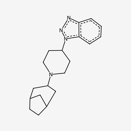 c1ccc2c(c1)nnn2C1CCN(C2CC3CCC(C3)C2)CC1